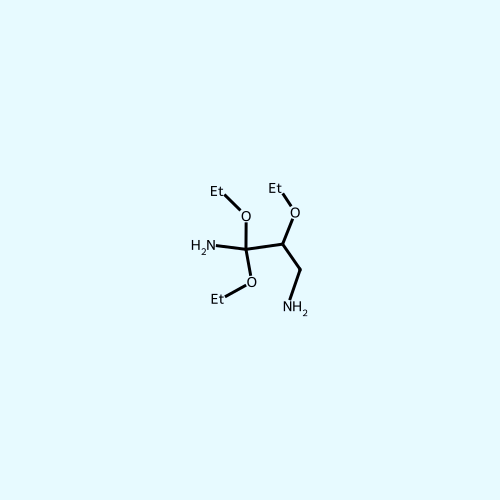 CCOC(CN)C(N)(OCC)OCC